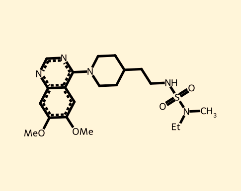 CCN(C)S(=O)(=O)NCCC1CCN(c2ncnc3cc(OC)c(OC)cc23)CC1